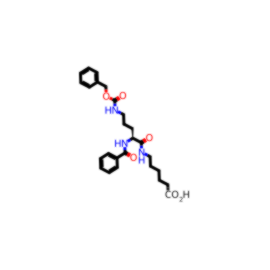 O=C(O)CCCCCNC(=O)[C@H](CCCNC(=O)OCc1ccccc1)NC(=O)c1ccccc1